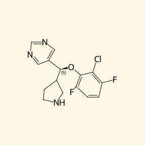 Fc1ccc(F)c(O[C@H](c2cncnc2)C2CCNC2)c1Cl